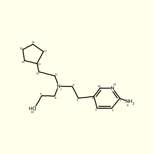 Nc1ccc(CCN(CCO)CCC2CCCC2)cn1